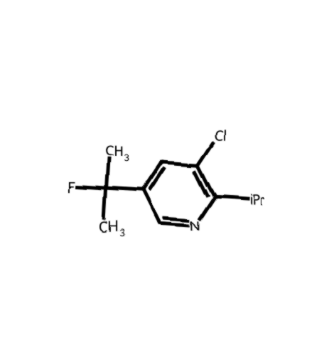 CC(C)c1ncc(C(C)(C)F)cc1Cl